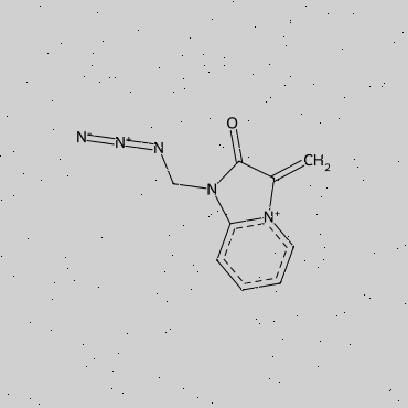 C=C1C(=O)N(CN=[N+]=[N-])c2cccc[n+]21